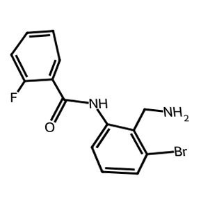 NCc1c(Br)cccc1NC(=O)c1ccccc1F